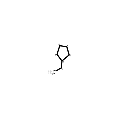 C[C]C1CCCC1